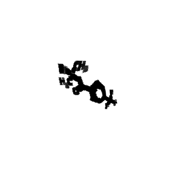 C[S](C)(Br)=CC(=O)c1ccc(C(F)(F)F)cc1